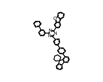 c1ccc(-c2cccc(-c3nc(-c4ccc(-c5ccc(-c6cccc7c6C6(CCCCC6)c6ccccc6-7)cc5)cc4)nc(-c4ccc5c(c4)oc4ccccc45)n3)c2)cc1